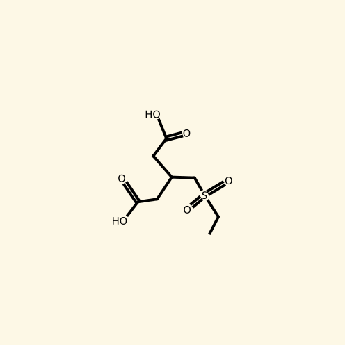 CCS(=O)(=O)CC(CC(=O)O)CC(=O)O